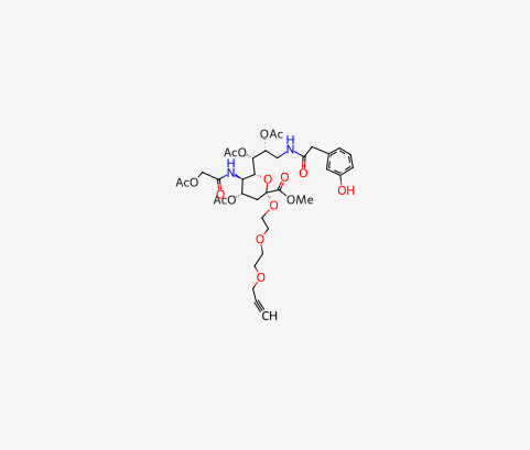 C#CCOCCOCCO[C@]1(C(=O)OC)C[C@H](OC(C)=O)[C@@H](NC(=O)COC(C)=O)[C@H]([C@H](OC(C)=O)[C@@H](CNC(=O)Cc2cccc(O)c2)OC(C)=O)O1